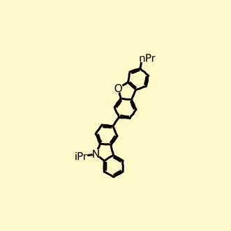 CCCc1ccc2c(c1)oc1cc(-c3ccc4c(c3)c3ccccc3n4C(C)C)ccc12